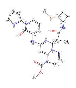 C=NN1C(N(C)C(=O)OC(C)(C)C)=CC(Nc2cccn(-c3ccccn3)c2=O)=N/C1=C(/C)C(=O)N[C@@H]1CC[C@H]1OCC